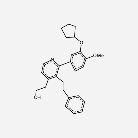 COc1ccc(-c2nccc(CCO)c2CCc2ccccc2)cc1OC1CCCC1